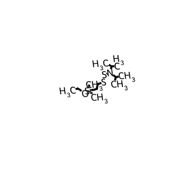 CCO[Si](C)(C)CCSSN(C(C)C)C(C)C